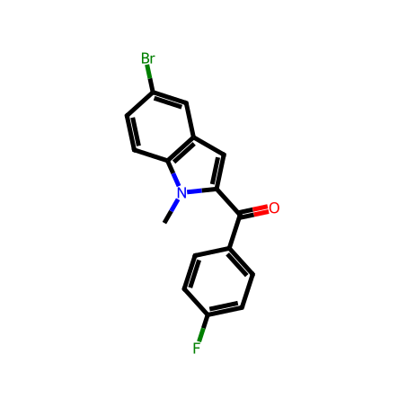 Cn1c(C(=O)c2ccc(F)cc2)cc2cc(Br)ccc21